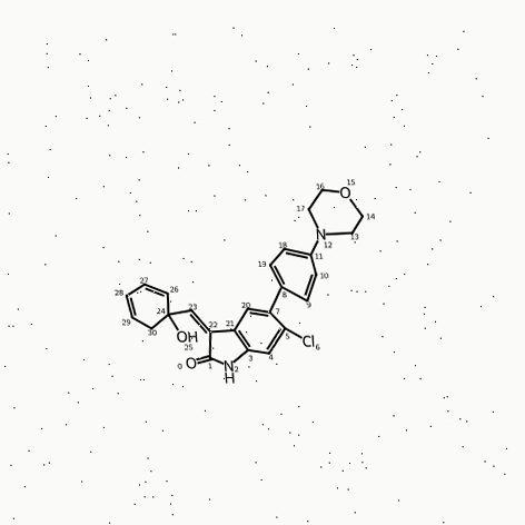 O=C1Nc2cc(Cl)c(-c3ccc(N4CCOCC4)cc3)cc2C1=CC1(O)C=CC=CC1